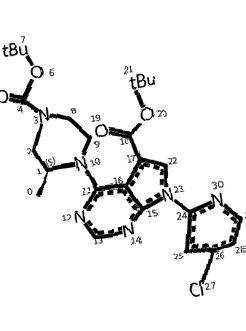 C[C@H]1CN(C(=O)OC(C)(C)C)CCN1c1ncnc2c1c(C(=O)OC(C)(C)C)cn2-c1cc(Cl)ccn1